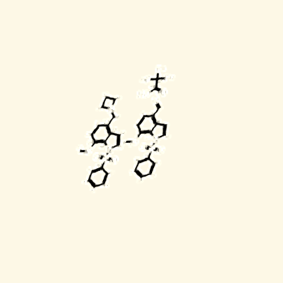 COc1ccc(C=O)c2ccn(S(=O)(=O)c3ccccc3)c12.COc1ccc(CN2CCC2)c2ccn(S(=O)(=O)c3ccccc3)c12.O=C(O)C(F)(F)F